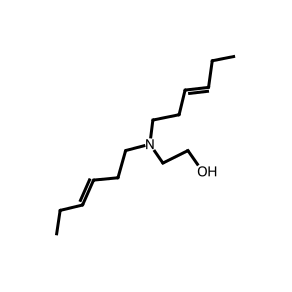 CCC=CCCN(CCO)CCC=CCC